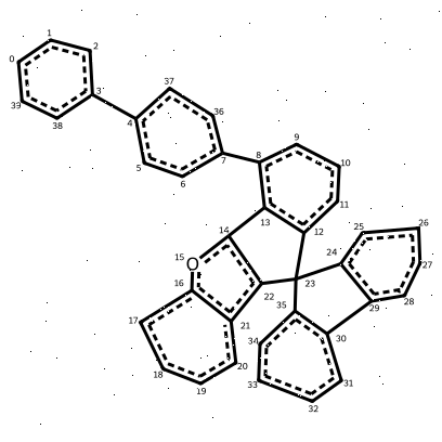 c1ccc(-c2ccc(-c3cccc4c3-c3oc5ccccc5c3C43c4ccccc4-c4ccccc43)cc2)cc1